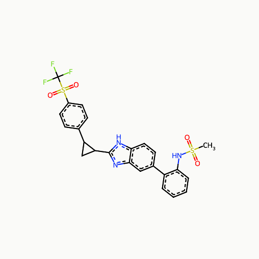 CS(=O)(=O)Nc1ccccc1-c1ccc2[nH]c(C3CC3c3ccc(S(=O)(=O)C(F)(F)F)cc3)nc2c1